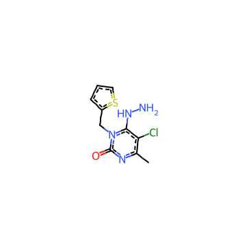 Cc1nc(=O)n(Cc2cccs2)c(NN)c1Cl